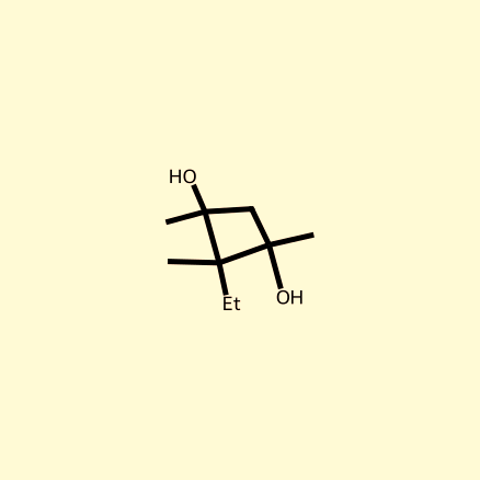 CCC1(C)C(C)(O)CC1(C)O